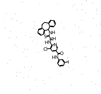 O=C(Nc1cccc(I)c1)c1cnc(NNC(=S)NC2c3ccccc3CCc3ccccc32)c(Cl)c1